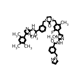 Cc1cc(C)c(-c2cnc(NC(=O)c3cccc(CN4CCN(Cc5cc(F)c(-c6cnc(NC(=O)c7cccc(Cn8cccn8)c7)n6C)cc5C)C4=O)c3)n2C)cc1C